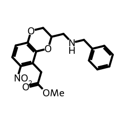 COC(=O)Cc1c([N+](=O)[O-])ccc2c1OC(CNCc1ccccc1)CO2